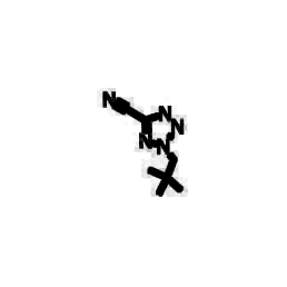 CC(C)(C)Cn1nnc(C#N)n1